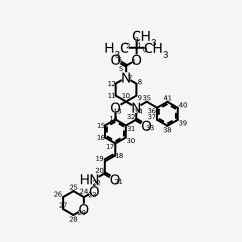 CC(C)(C)OC(=O)N1CCC2(CC1)Oc1ccc(/C=C/C(=O)NOC3CCCCO3)cc1C(=O)N2Cc1ccccc1